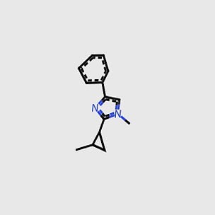 CC1CC1c1nc(-c2ccccc2)cn1C